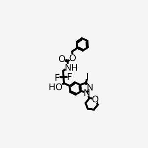 O=C(NCC(F)(F)C(O)c1ccc2c(c1)c(I)nn2C1CCCCO1)OCc1ccccc1